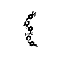 N#Cc1ccc(CN2CCC(NC(=O)c3cccc(OC4CCN(Cc5ccc(C(F)(F)F)cc5)CC4F)c3)CC2)cc1